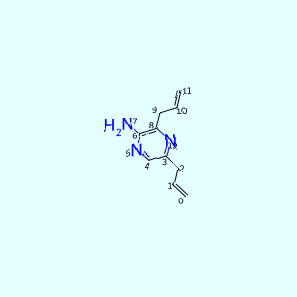 C=CCc1cnc(N)c(CC=C)n1